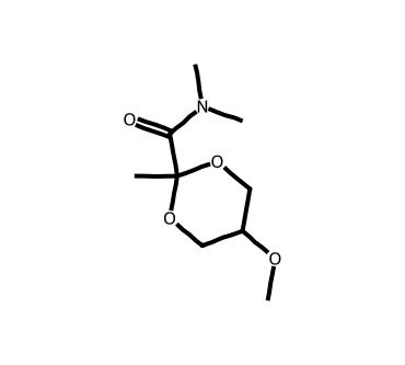 COC1COC(C)(C(=O)N(C)C)OC1